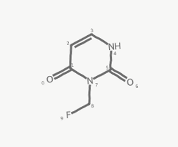 O=c1cc[nH]c(=O)n1CF